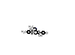 C=C/C=C\C1=C(C)N(S(=O)(=O)c2ccc(C)cc2)CCc2c1nn(-c1ccc(Cl)cc1)c2O